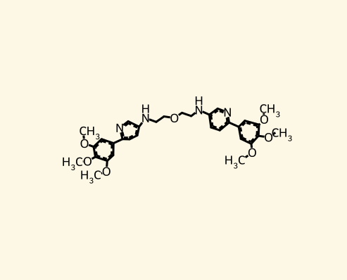 COc1cc(-c2ccc(NCCOCCNc3ccc(-c4cc(OC)c(OC)c(OC)c4)nc3)cn2)cc(OC)c1OC